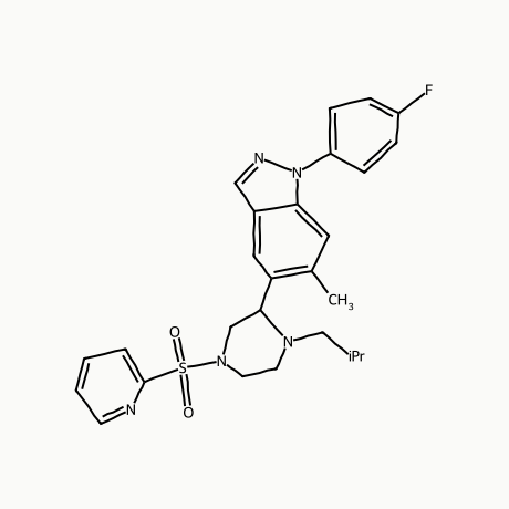 Cc1cc2c(cnn2-c2ccc(F)cc2)cc1C1CN(S(=O)(=O)c2ccccn2)CCN1CC(C)C